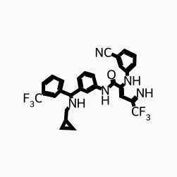 N#Cc1cccc(N/C(=C\C(=N)C(F)(F)F)C(=O)Nc2cccc(C(NCC3CC3)c3cccc(C(F)(F)F)c3)c2)c1